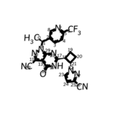 C[C@@H](c1ccc(C(F)(F)F)nc1)n1nc(C#N)c2c(=O)[nH]c([C@H]3CC[C@@H]3n3ccc(C#N)n3)nc21